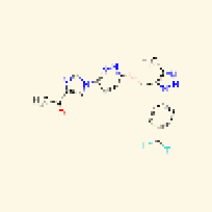 CC(=O)c1cn(-c2ccc(OCc3c(C)nnn3-c3ccc(C(F)F)cc3)nn2)cn1